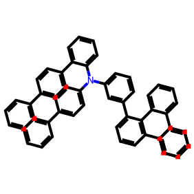 c1ccc(-c2ccc(-c3ccccc3N(c3ccc(-c4ccccc4)cc3)c3cccc(-c4cccc(-c5ccccc5)c4-c4ccccc4-c4ccccc4)c3)cc2)cc1